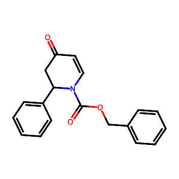 O=C1C=CN(C(=O)OCc2ccccc2)C(c2ccccc2)C1